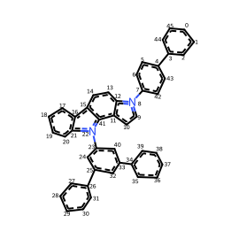 c1ccc(-c2ccc(-n3ccc4c3ccc3c5ccccc5n(-c5cc(-c6ccccc6)cc(-c6ccccc6)c5)c34)cc2)cc1